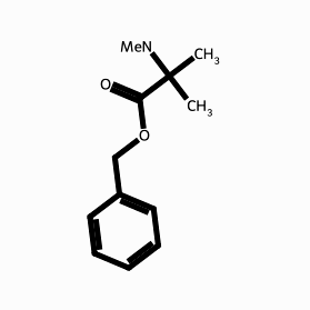 CNC(C)(C)C(=O)OCc1ccccc1